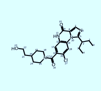 CCC(CC)c1ncc2c(=O)[nH]c3cc(C(=O)N4CCC(CCO)CC4)c(Cl)cc3n12